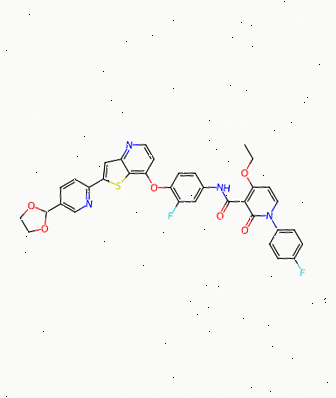 CCOc1ccn(-c2ccc(F)cc2)c(=O)c1C(=O)Nc1ccc(Oc2ccnc3cc(-c4ccc(C5OCCO5)cn4)sc23)c(F)c1